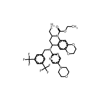 CCOC(=O)N1c2cc3c(cc2C(N(Cc2cc(C(F)(F)F)cc(C(F)(F)F)c2)c2ncc(N4CCOCC4)cn2)CC1CC)OCCO3